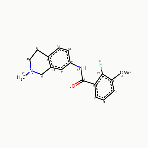 COc1cccc(C(=O)Nc2ccc3c(c2)CN(C)CC3)c1F